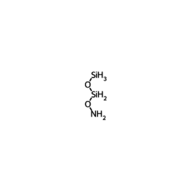 NO[SiH2]O[SiH3]